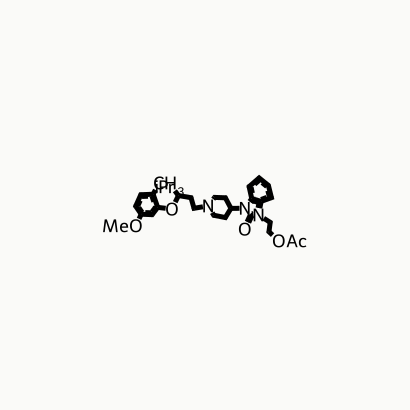 COc1ccc(C)c(OC(CCN2CCC(n3c(=O)n(CCOC(C)=O)c4ccccc43)CC2)C(C)C)c1